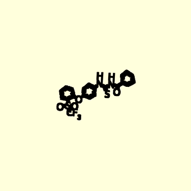 O=C(NC(=S)Nc1ccc(Oc2ccccc2S(=O)(=O)C(F)(F)F)cc1)c1ccccc1